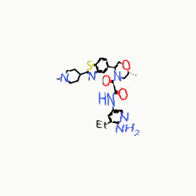 CCc1cc(NC(=O)C(=O)N2C[C@@H](C)OC[C@@H]2c2ccc3sc(C4CCN(C)CC4)nc3c2)cnc1N